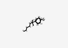 CCCCCC(C)(C)c1ccc([S])cc1